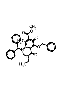 CCN1CN(C(c2ccccc2)c2ccccc2)n2c(C)c(C(=O)OC)c(=O)c(OCc3ccccc3)c2C1=O